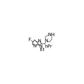 CCCC(c1nc2cc(F)cnc2n1CC)N1CCN[C@H](C)CC1